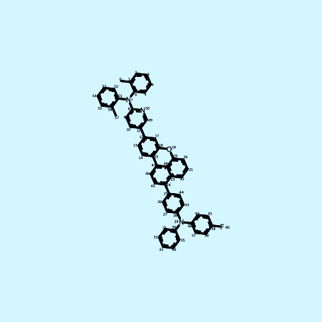 Cc1ccccc1N(c1ccc(-c2ccc3c(c2)Oc2cccc4c(-c5ccc(N(c6ccccc6)c6ccc(F)cc6)cc5)ccc-3c24)cn1)c1ccccc1C